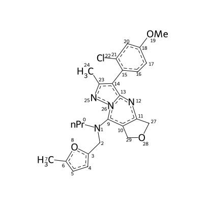 CCCN(Cc1ccc(C)o1)c1c2c(nc3c(-c4ccc(OC)cc4Cl)c(C)nn13)COC2